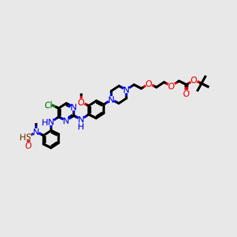 COc1cc(N2CCN(CCOCCOCC(=O)OC(C)(C)C)CC2)ccc1Nc1ncc(Cl)c(Nc2ccccc2N(C)[SH]=O)n1